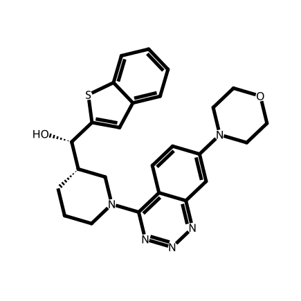 O[C@H](c1cc2ccccc2s1)[C@H]1CCCN(c2nnnc3cc(N4CCOCC4)ccc23)C1